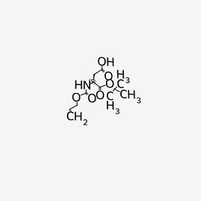 C=CCOC(=O)N[C@@H](CC(=O)O)C(=O)OC(C)(C)C